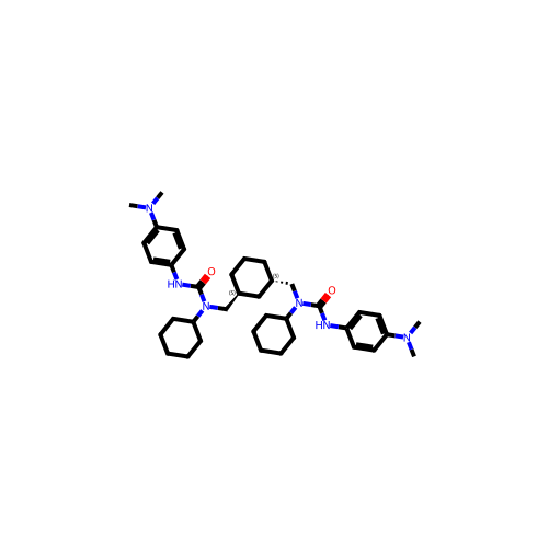 CN(C)c1ccc(NC(=O)N(C[C@H]2CCC[C@H](CN(C(=O)Nc3ccc(N(C)C)cc3)C3CCCCC3)C2)C2CCCCC2)cc1